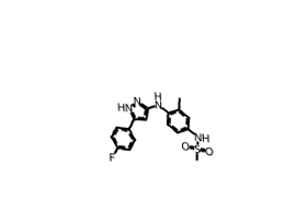 Cc1cc(NS(C)(=O)=O)ccc1Nc1cc(-c2ccc(F)cc2)[nH]n1